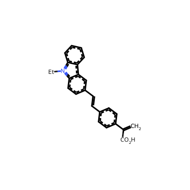 C=C(C(=O)O)c1ccc(C=Cc2ccc3c(c2)c2ccccc2n3CC)cc1